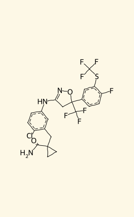 NC(=O)C1(Cc2cc(NC3=NOC(c4ccc(F)c(SC(F)(F)F)c4)(C(F)(F)F)C3)ccc2Cl)CC1